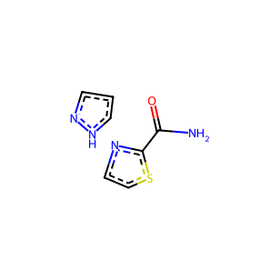 NC(=O)c1nccs1.c1cn[nH]c1